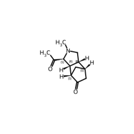 CC(=O)[C@@H]1[C@@H]2[C@H](CN1C)[C@@H]1CC(=O)[C@H]2C1